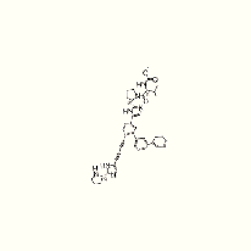 COC(=O)N[C@H](C(=O)N1CCC[C@H]1c1ncc(-c2ccc(C#CC#Cc3cnc([C@@H]4CCCN4)[nH]3)c(-c3cccc(-c4ccccc4)c3)c2)[nH]1)C(C)C